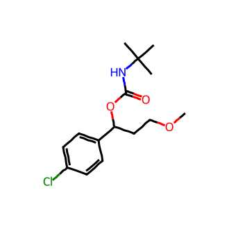 COCCC(OC(=O)NC(C)(C)C)c1ccc(Cl)cc1